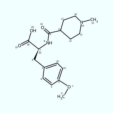 COc1ccc(C[C@H](NC(=O)C2CCN(C)CC2)C(=O)O)cc1